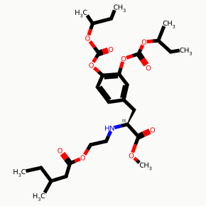 CCC(C)CC(=O)OCCN[C@@H](Cc1ccc(OC(=O)OC(C)CC)c(OC(=O)OC(C)CC)c1)C(=O)OC